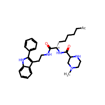 CC(=O)CCCCC[C@H](NC(=O)C1CN(C)CCN1)C(=O)NCCc1c(-c2ccccc2)[nH]c2ccccc12